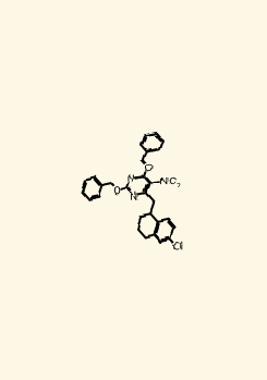 O=[N+]([O-])c1c(CC2CCCc3cc(Cl)ccc32)nc(OCc2ccccc2)nc1OCc1ccccc1